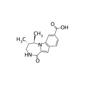 C[C@@H]1[C@@H](C)CNC(=O)c2cc3ccc(C(=O)O)cc3n21